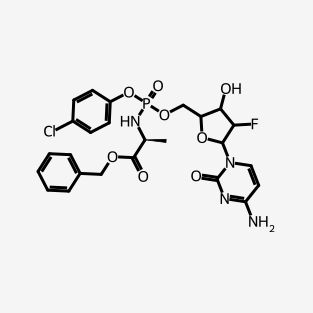 C[C@H](NP(=O)(OCC1OC(n2ccc(N)nc2=O)C(F)C1O)Oc1ccc(Cl)cc1)C(=O)OCc1ccccc1